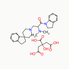 CN(C)C(CN1CCC2(CCc3ccccc32)CC1)C(=O)N1CCc2ccccc21.O=C(O)CC(O)(CC(=O)O)C(=O)O